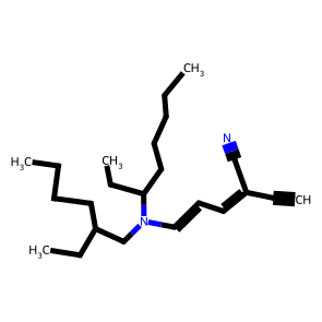 C#C/C(C#N)=C/C=C/N(CC(CC)CCCC)C(CC)CCCCC